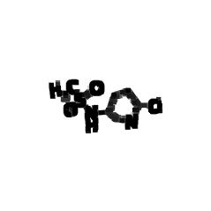 CS(=O)(=O)Nc1ccc(Cl)nc1